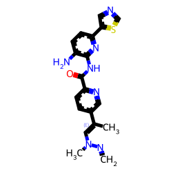 C=NN(C)/C=C(\C)c1ccc(C(=O)Nc2nc(-c3cncs3)ccc2N)nc1